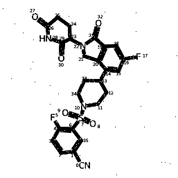 N#Cc1ccc(F)c(S(=O)(=O)N2CCC(c3cc(F)cc4c3CN(C3CCC(=O)NC3=O)C4=O)CC2)c1